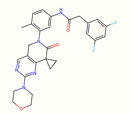 Cc1ccc(NC(=O)Cc2cc(F)cc(F)c2)cc1N1Cc2cnc(N3CCOCC3)nc2C2(CC2)C1=O